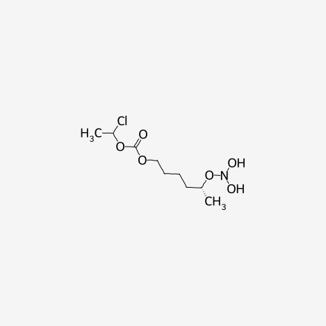 CC(Cl)OC(=O)OCCCC[C@@H](C)ON(O)O